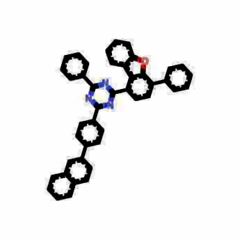 c1ccc(-c2nc(-c3ccc(-c4ccc5ccccc5c4)cc3)nc(-c3ccc(-c4ccccc4)c4oc5ccccc5c34)n2)cc1